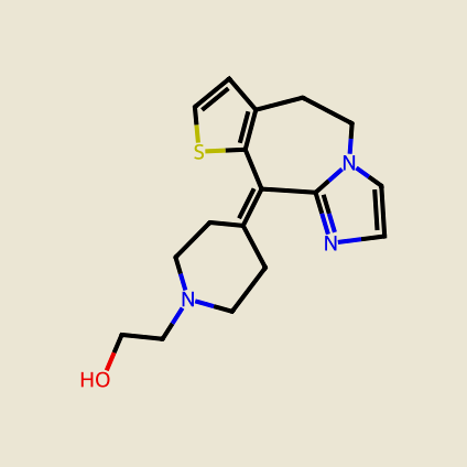 OCCN1CCC(=C2c3sccc3CCn3ccnc32)CC1